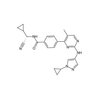 Cc1cnc(Nc2cnn(C3CC3)c2)nc1-c1ccc(C(=O)N[C@H](C#N)C2CC2)cc1